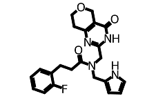 O=C(CCc1ccccc1F)N(Cc1ccc[nH]1)Cc1nc2c(c(=O)[nH]1)COCC2